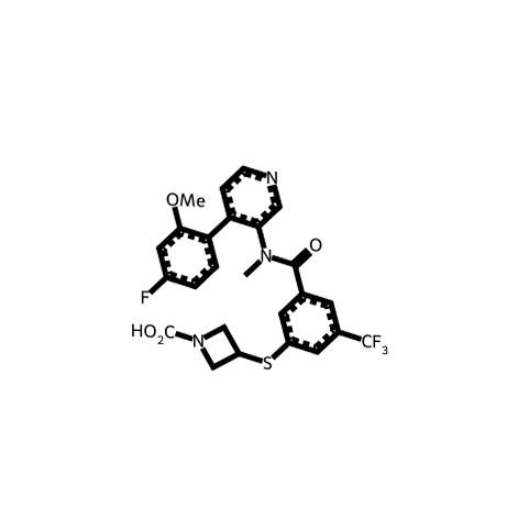 COc1cc(F)ccc1-c1ccncc1N(C)C(=O)c1cc(SC2CN(C(=O)O)C2)cc(C(F)(F)F)c1